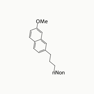 CCCCCCCCCCCCc1ccc2ccc(OC)cc2c1